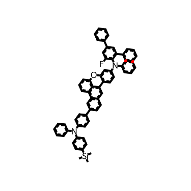 C[Si](C)(C)c1ccc(N(c2ccccc2)c2ccc(-c3ccc4cc5c6c(cccc6c4c3)Oc3cc(N(c4ccccc4)c4c(F)cc(-c6ccccc6)cc4-c4ccccc4)ccc3-5)cc2)cc1